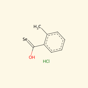 Cc1ccccc1C(O)=[Se].Cl